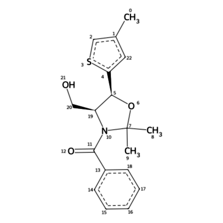 Cc1csc([C@H]2OC(C)(C)N(C(=O)c3ccccc3)[C@H]2CO)c1